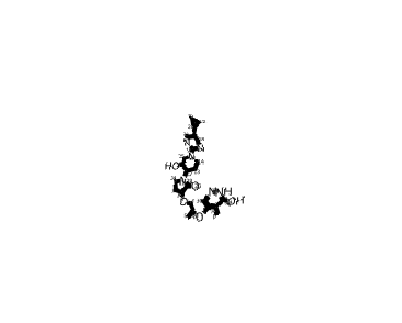 CC1=C(OC(C)COC2CCN(C3CCN(c4ncc(C5CC5)cn4)CC3O)C2=O)C=NNC1O